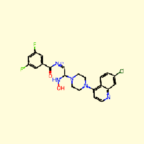 O=C(/N=C\C(NO)N1CCN(c2ccnc3cc(Cl)ccc23)CC1)c1cc(F)cc(F)c1